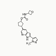 Cn1nccc1-c1cc2cc([C@H]3CC[C@@H](OC(=O)NC4COC4)C3)cnc2[nH]1